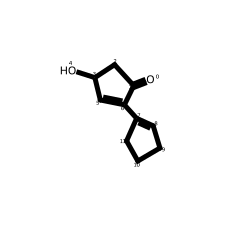 O=C1CC(O)C=C1C1=CCCC1